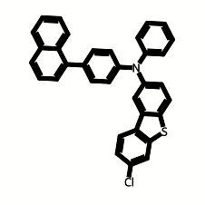 Clc1ccc2c(c1)sc1ccc(N(c3ccccc3)c3ccc(-c4cccc5ccccc45)cc3)cc12